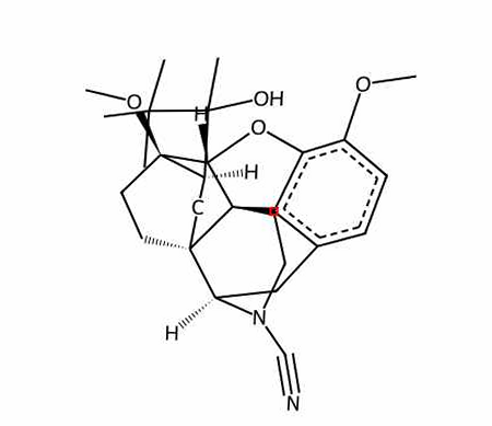 COc1ccc2c3c1O[C@H]1[C@@]4(OC)CC[C@@]5(C[C@@H]4C(C)(O)C(C)(C)C)[C@@H](C2)N(C#N)CC[C@]315